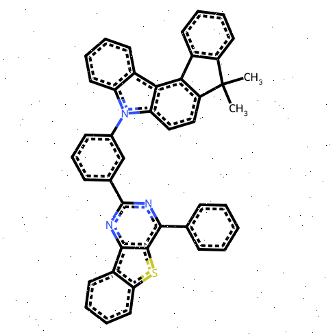 CC1(C)c2ccccc2-c2c1ccc1c2c2ccccc2n1-c1cccc(-c2nc(-c3ccccc3)c3sc4ccccc4c3n2)c1